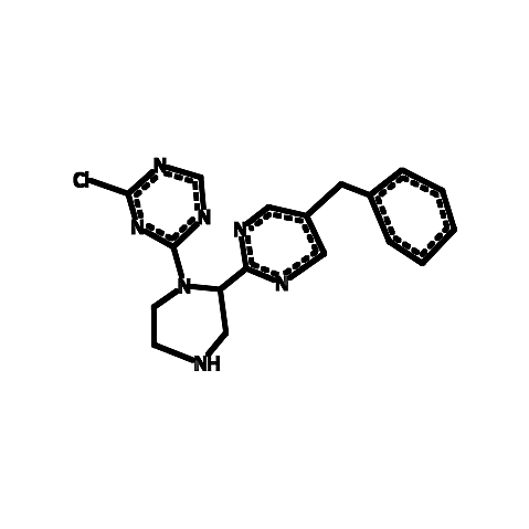 Clc1ncnc(N2CCNCC2c2ncc(Cc3ccccc3)cn2)n1